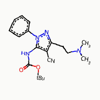 CN(C)CCc1nn(-c2ccccc2)c(NC(=O)OC(C)(C)C)c1C#N